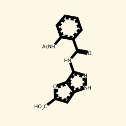 CC(=O)Nc1ccccc1C(=O)Nc1n[nH]c2cc(C(=O)O)oc12